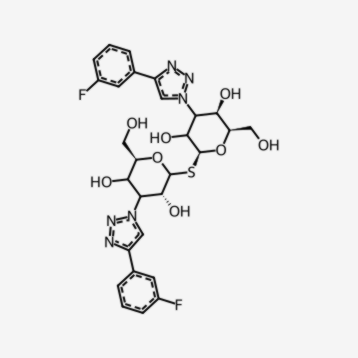 OC[C@H]1OC(S[C@@H]2O[C@H](CO)[C@H](O)C(n3cc(-c4cccc(F)c4)nn3)C2O)[C@H](O)C(n2cc(-c3cccc(F)c3)nn2)C1O